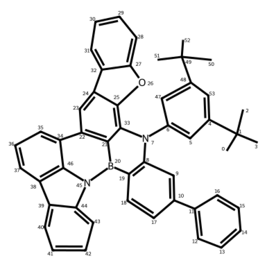 CC(C)(C)c1cc(N2c3cc(-c4ccccc4)ccc3B3c4c(cc5c(oc6ccccc65)c42)-c2cccc4c5ccccc5n3c24)cc(C(C)(C)C)c1